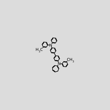 Cc1cccc(N(C2=CCC=CC=C2)c2ccc(-c3ccc(N(c4ccccc4)c4cccc(C)c4)cc3)cc2)c1